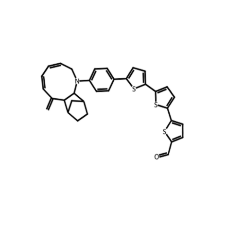 C=C1/C=C\C=C/CN(c2ccc(-c3ccc(-c4ccc(-c5ccc(C=O)s5)s4)s3)cc2)C2C3CCC(C3)C12